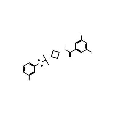 CC(C)([C@H]1C[C@@H](NC(=O)c2cc(F)cc(Cl)c2)C1)S(=O)(=O)c1cccc(C(F)(F)F)c1